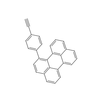 C#Cc1ccc(-c2ccc3cccc4c5cccc6cccc(c2c34)c65)cc1